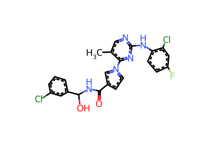 Cc1cnc(Nc2ccc(F)cc2Cl)nc1-n1ccc(C(=O)NC(O)c2cccc(Cl)c2)c1